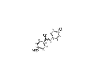 [O-][N+](=Cc1ccc(Cl)cc1)c1ccc(S)cc1